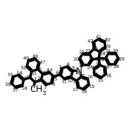 CC1c2ccc(-c3ccc4c(c3)c3ccccc3n4-c3ccc4c(c3)C(c3ccccc3)(c3ccccc3)c3ccccc3-4)cc2-c2ccccc2C1c1ccccc1